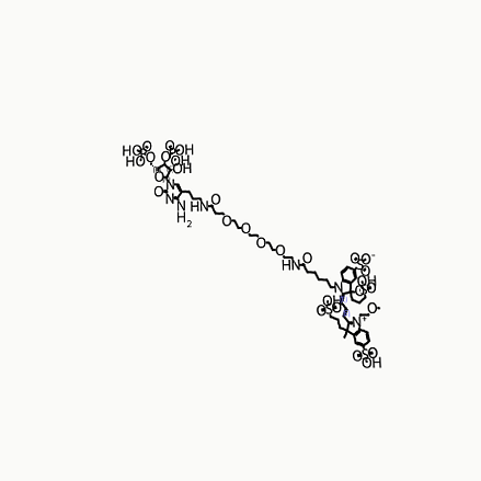 COCC[N+]1=C(/C=C/C=C2/N(CCCCCC(=O)NCCOCCOCCOCCOCCC(=O)NCCCc3cn([C@@H]4O[C@H](COP(=O)(O)O)C(OP(=O)(O)O)[C@@H]4O)c(=O)nc3N)c3ccc(S(=O)(=O)[O-])cc3C2(C)CCCS(=O)(=O)O)C(C)(CCCS(=O)(=O)O)c2cc(S(=O)(=O)O)ccc21